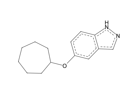 c1cc2[nH]ncc2cc1OC1CCCCCC1